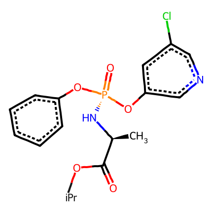 CC(C)OC(=O)[C@H](C)N[P@@](=O)(Oc1ccccc1)Oc1cncc(Cl)c1